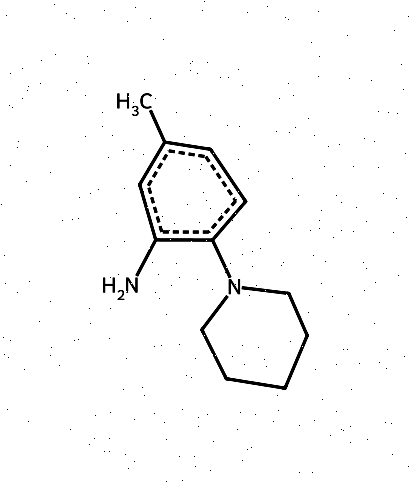 Cc1ccc(N2CCCCC2)c(N)c1